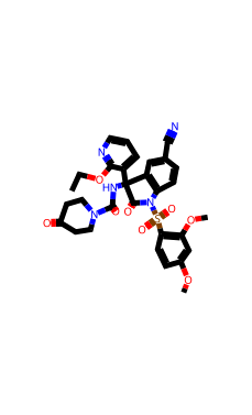 CCOc1ncccc1C1(NC(=O)N2CCC(=O)CC2)C(=O)N(S(=O)(=O)c2ccc(OC)cc2OC)c2ccc(C#N)cc21